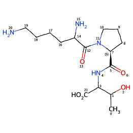 CC(O)C(NC(=O)[C@@H]1CCCN1C(=O)C(N)CCCCN)C(=O)O